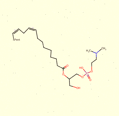 CCCCC/C=C\C/C=C\CCCCCCCC(=O)OC(CO)COP(=O)(O)OCCN(C)C